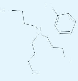 CCC[CH2][SnH]([CH2]CCC)[CH2]CCC.Cc1[c]cccc1